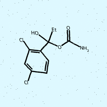 CCC(O)(OC(N)=O)c1ccc(Cl)cc1Cl